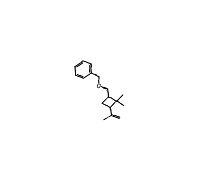 C=C(C)C1CC(COCc2ccccc2)C1(C)C